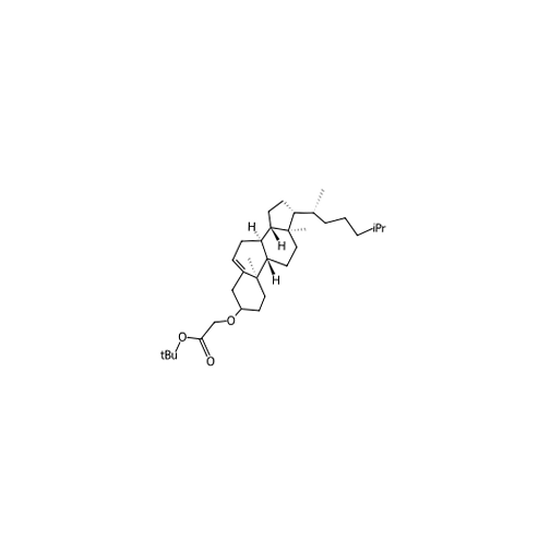 CC(C)CCC[C@@H](C)[C@H]1CC[C@H]2[C@@H]3CC=C4CC(OCC(=O)OC(C)(C)C)CC[C@]4(C)[C@H]3CC[C@]12C